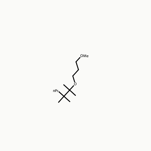 CCCC(C)(C)C(C)(C)OCCCOC